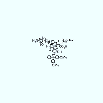 CCCCCCOC(=O)CCC(C(=O)O)N(NO[C@@H]1[C@H](O)[C@@H](COC(c2ccccc2)(c2ccc(OC)cc2)c2ccc(OC)cc2)O[C@H]1n1ccc(=O)[nH]c1=O)C(=O)c1ccc(NCc2cnc3nc(N)[nH]c(=O)c3n2)cc1